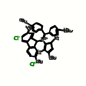 CCC1=[C]([Zr+2](=[C](c2ccc(C(C)(C)C)cc2)c2ccc(C(C)(C)C)cc2)[CH]2c3cc(C(C)(C)C)ccc3-c3ccc(C(C)(C)C)cc32)C(CC)C=C1C(C)(C)C.[Cl-].[Cl-]